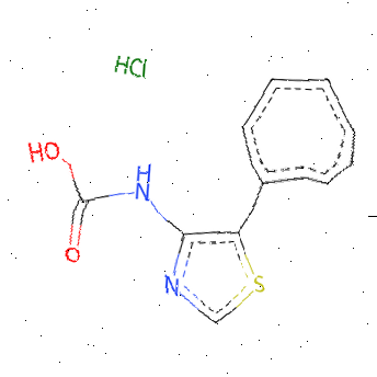 Cl.O=C(O)Nc1ncsc1-c1ccccc1